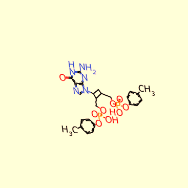 Cc1ccc(OP(=O)(O)OCC2CC(n3cnc4c(=O)[nH]c(N)nc43)C2COP(=O)(O)Oc2ccc(C)cc2)cc1